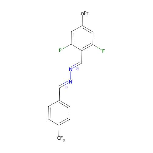 CCCc1cc(F)c(/C=N/N=C/c2ccc(C(F)(F)F)cc2)c(F)c1